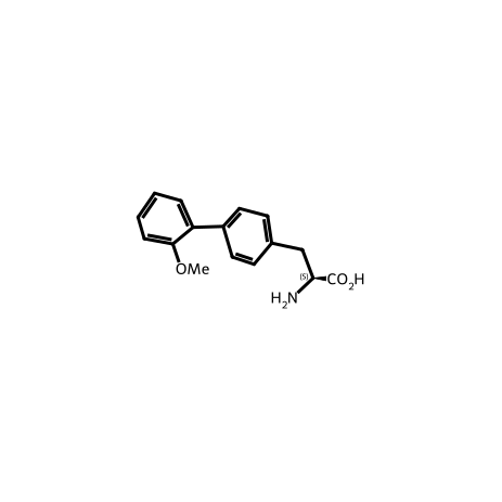 COc1ccccc1-c1ccc(C[C@H](N)C(=O)O)cc1